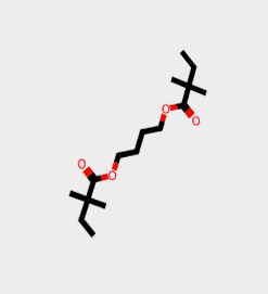 CCC(C)(C)C(=O)OCCCCOC(=O)C(C)(C)CC